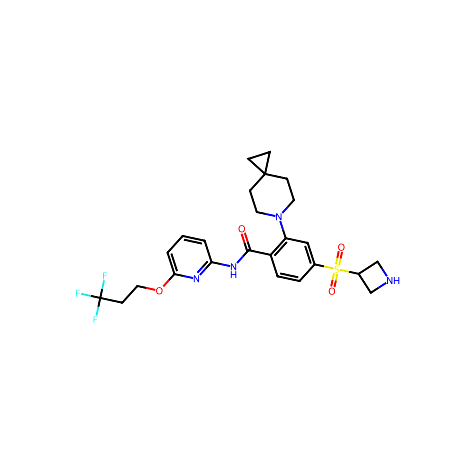 O=C(Nc1cccc(OCCC(F)(F)F)n1)c1ccc(S(=O)(=O)C2CNC2)cc1N1CCC2(CC1)CC2